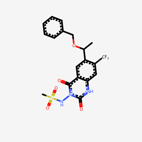 CC(OCc1ccccc1)c1cc2c(=O)n(NS(C)(=O)=O)c(=O)[nH]c2cc1C(F)(F)F